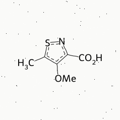 COc1c(C(=O)O)nsc1C